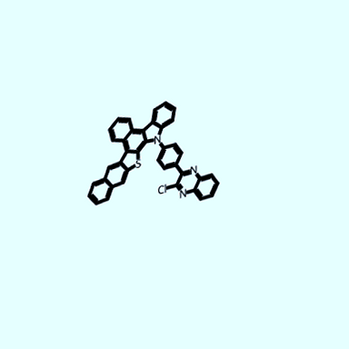 Clc1nc2ccccc2nc1-c1ccc(-n2c3ccccc3c3c4ccccc4c4c5cc6ccccc6cc5sc4c32)cc1